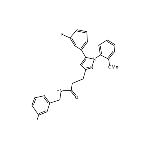 COc1ccccc1-n1nc(CCC(=O)NCc2cccc(C)c2)cc1-c1cccc(F)c1